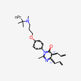 C=C/C=c1/nc(C)n(-c2ccc(OCCCN(C)C(C)(C)CCC)cc2)c(=O)/c1=C/C=C